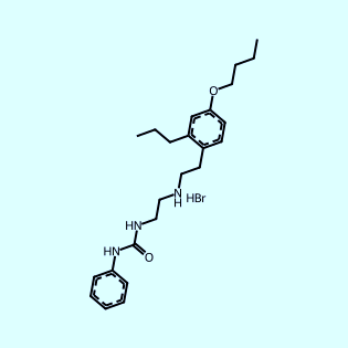 Br.CCCCOc1ccc(CCNCCNC(=O)Nc2ccccc2)c(CCC)c1